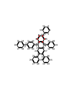 c1ccc(-c2ccc(N(c3ccc(-c4ccccc4)cc3)c3cc(-c4ccccc4)c(-c4ccccc4)cc3N(c3ccccc3)c3ccccc3)cc2)cc1